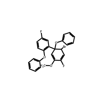 COC1=CC(Oc2ccccc2)(c2cc(F)ccc2Oc2ccccc2)C(Br)C=C1F